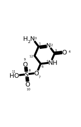 NC1=NC(=O)NC(OS(=O)(=O)O)C1